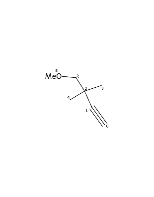 C#CC(C)(C)[CH]OC